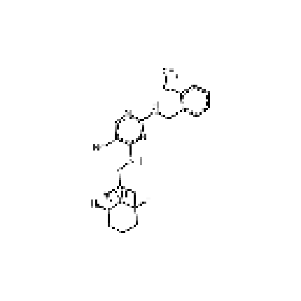 N#Cc1cnc(NCc2ccccc2OC(F)(F)F)nc1NCC1C[C@H]2CCC[C@@H](C1)[C@@H]2N